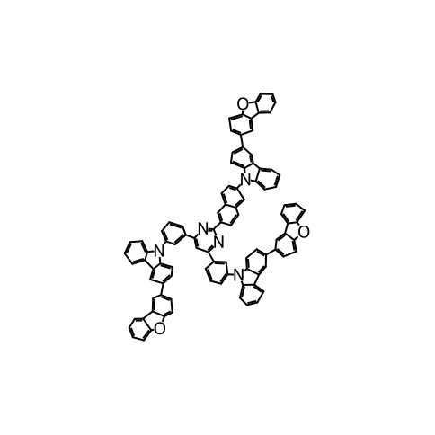 c1cc(-c2cc(-c3cccc(-n4c5ccccc5c5cc(-c6ccc7oc8ccccc8c7c6)ccc54)c3)nc(-c3ccc4cc(-n5c6ccccc6c6cc(-c7ccc8oc9ccccc9c8c7)ccc65)ccc4c3)n2)cc(-n2c3ccccc3c3cc(-c4ccc5oc6ccccc6c5c4)ccc32)c1